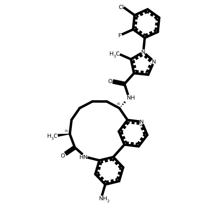 Cc1c(C(=O)N[C@H]2CCCC[C@H](C)C(=O)Nc3cc(N)ccc3-c3ccnc2c3)cnn1-c1cccc(Cl)c1F